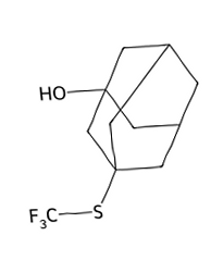 OC12CC3CC(C1)CC(SC(F)(F)F)(C3)C2